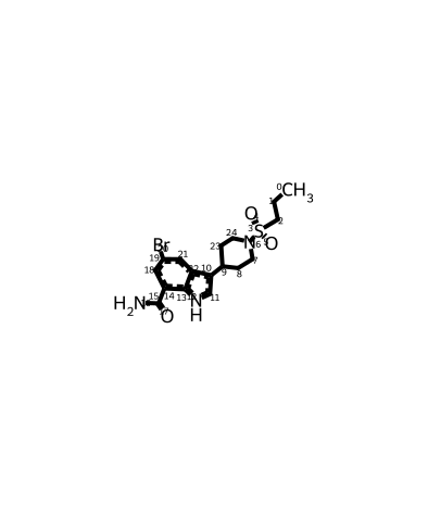 CCCS(=O)(=O)N1CCC(c2c[nH]c3c(C(N)=O)cc(Br)cc23)CC1